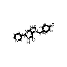 O=c1[nH]c(-c2cccnc2)nc2ncn(Cc3ccc(F)cc3)c12